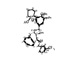 CCCc1cc(C(=O)N[C@@H](Cc2ccccc2)[C@@H](O)CNCc2cccc(C(F)(F)F)c2)cc(N2CCCCS2(O)O)c1OC